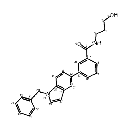 O=C(NCCCO)c1cccc(-c2ccc3c(ccn3Cc3ccccc3)c2)c1